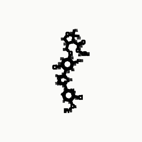 CC(C)Oc1ccc(-c2nnc(-c3cc(F)c(OCC4COC(C)(C)N4C(=O)OC(C)(C)C)cc3Cl)s2)nc1Cl